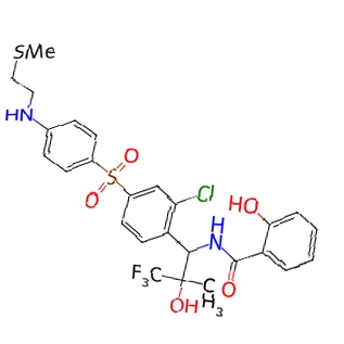 CSCCNc1ccc(S(=O)(=O)c2ccc(C(NC(=O)c3ccccc3O)C(C)(O)C(F)(F)F)c(Cl)c2)cc1